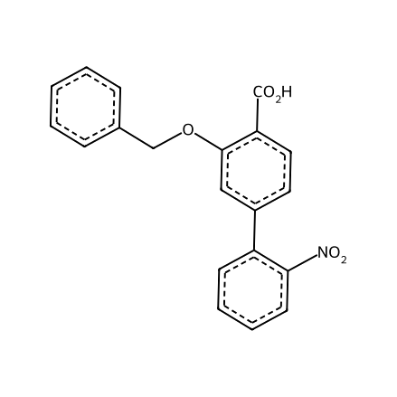 O=C(O)c1ccc(-c2ccccc2[N+](=O)[O-])cc1OCc1ccccc1